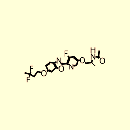 CC(=O)N[C@@H](C)COc1cnc(-c2nc3ccc(OCCC(C)(F)F)cc3o2)c(F)c1